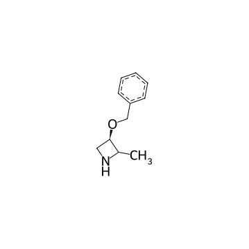 CC1NC[C@H]1OCc1ccccc1